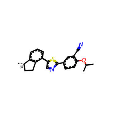 CC(C)Oc1ccc(-c2ncc(-c3cccc4c3CC[C@@H]4C)s2)cc1C#N